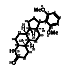 COc1cccc(OC)c1C1CC[C@H]2[C@@H]3CCC4NC(=O)CC[C@]4(C)[C@@H]3CC[C@]12C